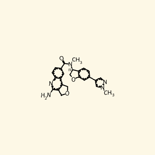 CN(C(=O)c1ccc2nc(N)c3c(c2c1)COC3)[C@@H]1COc2cc(-c3cnn(C)c3)ccc21